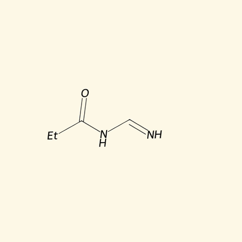 CCC(=O)NC=N